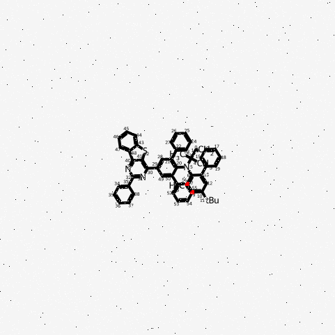 C=CC(C)(C)N(c1c(C)cc(C(C)(C)C)cc1-c1ccccc1)c1c(-c2ccccc2)cc(-c2nc(-c3ccccc3)nc3c2sc2ccccc23)cc1-c1ccccc1